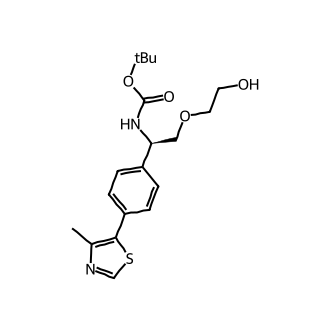 Cc1ncsc1-c1ccc([C@H](COCCO)NC(=O)OC(C)(C)C)cc1